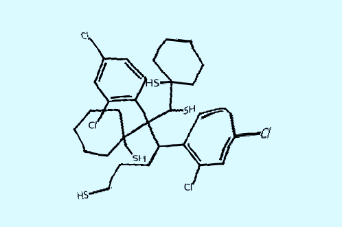 S[CH]CCC(c1ccc(Cl)cc1Cl)C([C](S)C1(S)CCCCC1)(c1ccc(Cl)cc1Cl)C1(S)CCCCC1